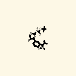 C=C(C)c1c2cc(-c3nc(NC(=O)OC(C)(C)C)ncc3F)ccc2nn1C